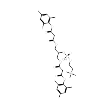 C[N+](C)(C)CCOP(=O)(O)OC(COC(=O)CC(=O)Oc1c(I)cc(I)cc1I)COC(=O)CC(=O)Oc1c(I)cc(I)cc1I